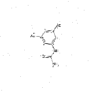 CC(=O)c1cc(NC(N)=O)cc(C(C)=O)c1